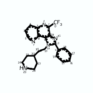 FC(F)(F)c1nc2cccnc2c2c1nc(-c1ccccc1)n2CCC1CCNCC1